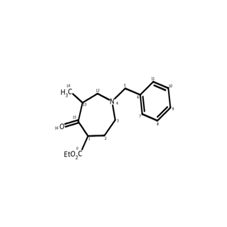 CCOC(=O)C1CCN(Cc2ccccc2)CC(C)C1=O